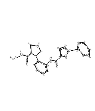 COC(=O)C1CNCC1c1ccccc1NC(=O)c1csc(-c2ccccc2)n1